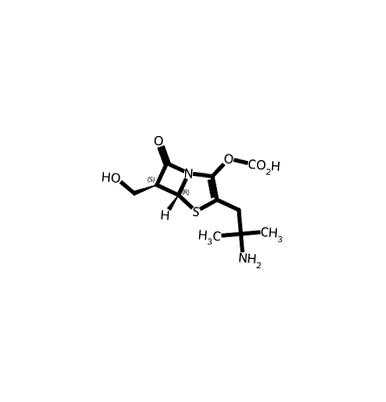 CC(C)(N)CC1=C(OC(=O)O)N2C(=O)[C@H](CO)[C@H]2S1